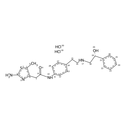 Cc1sc(N)nc1CC(=O)Nc1ccc(CCNC[C@H](O)c2ccccc2)cc1.Cl.Cl